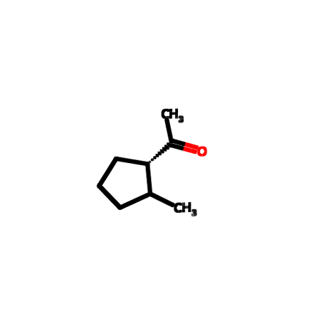 CC(=O)[C@H]1CCCC1C